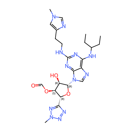 CCC(CC)Nc1nc(NCCc2cn(C)cn2)nc2c1ncn2[C@@H]1O[C@H](c2nnn(C)n2)[C@@H](OC=O)[C@H]1O